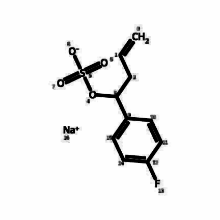 C=CCC(OS(=O)(=O)[O-])c1ccc(F)cc1.[Na+]